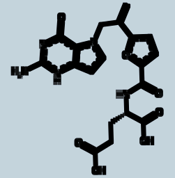 C=C(Cn1ccc2[nH]c(N)nc(=O)c21)c1ccc(C(=O)N[C@@H](CCC(=O)O)C(=O)O)o1